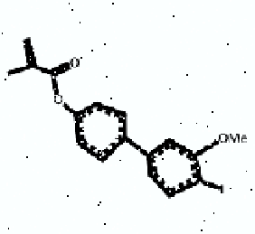 C=C(C)C(=O)Oc1ccc(-c2ccc(I)c(OC)c2)cc1